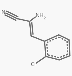 N#CC(N)=Cc1ccccc1Cl